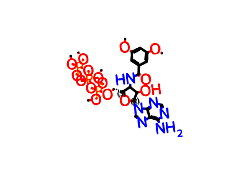 COc1cc(OC)cc(C(=O)NC2C(O)[C@H](n3cnc4c(N)ncnc43)O[C@@H]2COP(=O)(OC)OP(=O)(OC)OP(=O)(OC)OC)c1